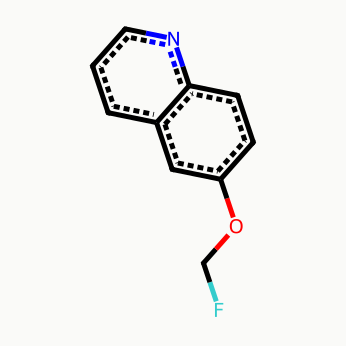 FCOc1ccc2ncccc2c1